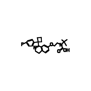 CC(C)(C)N(CCOc1ccc2c(c1)C(C1(c3ccc(F)cc3)CCC1)=NCC2)C(=O)O